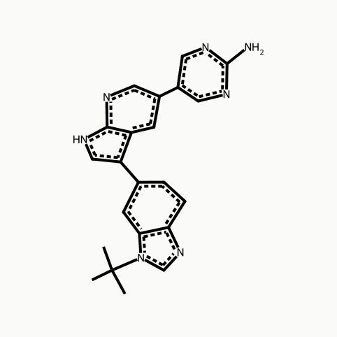 CC(C)(C)n1cnc2ccc(-c3c[nH]c4ncc(-c5cnc(N)nc5)cc34)cc21